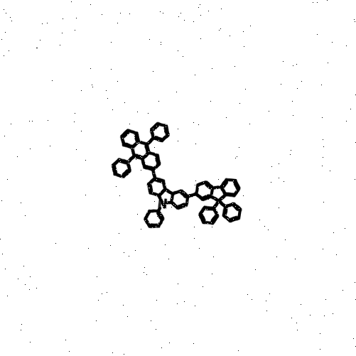 C1=CCCC(N2C3C=CC(c4ccc5c(-c6ccccc6)c6ccccc6c(-c6ccccc6)c5c4)=CC3C3C=C(C4C=C5C(=CC4)c4ccccc4C5(c4ccccc4)c4ccccc4)C=CC32)=C1